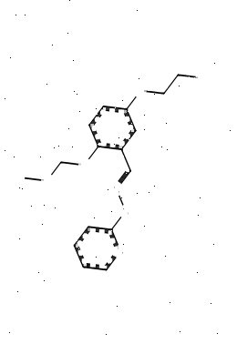 COCOc1ccc(OCCO)cc1/C=N/Nc1ccccn1